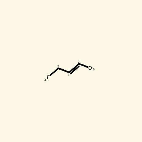 [O]C=CCF